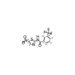 O=C(Nc1ncc([N+](=O)[O-])s1)c1cccc(C(F)(F)F)c1